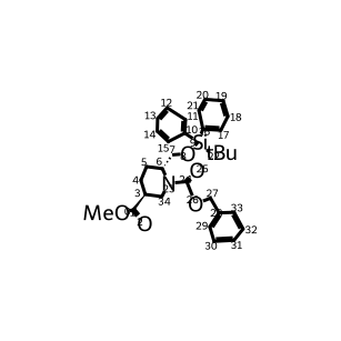 COC(=O)[C@H]1CC[C@H](CO[Si](c2ccccc2)(c2ccccc2)C(C)(C)C)N(C(=O)OCc2ccccc2)C1